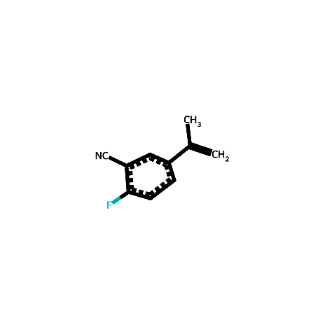 C=C(C)c1ccc(F)c(C#N)c1